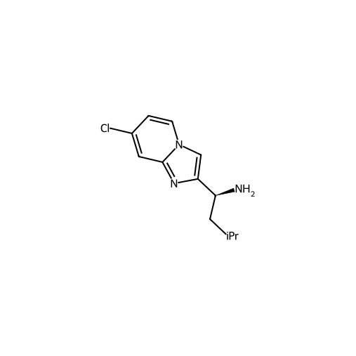 CC(C)C[C@H](N)c1cn2ccc(Cl)cc2n1